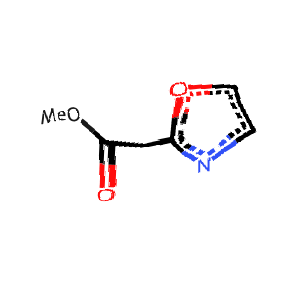 COC(=O)c1ncco1